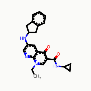 CCn1cc(C(=O)NC2CC2)c(=O)c2cc(NC3Cc4ccccc4C3)cnc21